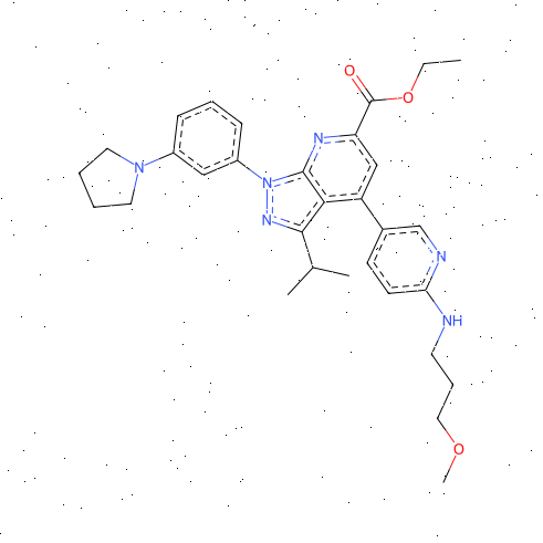 CCOC(=O)c1cc(-c2ccc(NCCCOC)nc2)c2c(C(C)C)nn(-c3cccc(N4CCCC4)c3)c2n1